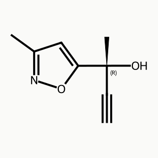 C#C[C@@](C)(O)c1cc(C)no1